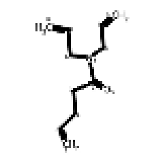 C=CCCC(=O)N(CC=C)CC=C